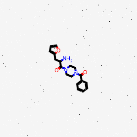 NC(Cc1ccco1)C(=O)N1CCN(C(=O)c2ccccc2)CC1